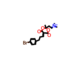 C[N+](C)=CCC1(C)OC(=O)C(=CCCc2ccc(Br)cc2)C(=O)O1